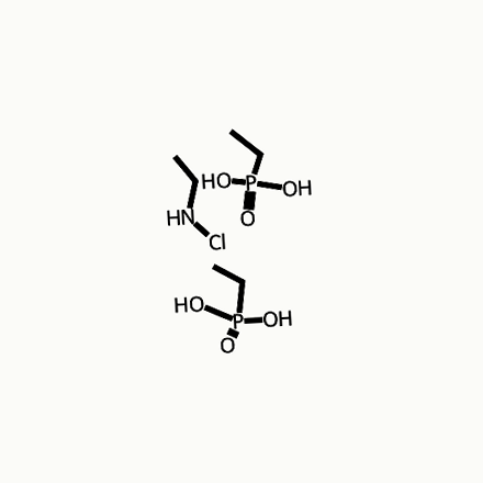 CCNCl.CCP(=O)(O)O.CCP(=O)(O)O